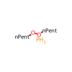 CCCCCOOCCCCC.P